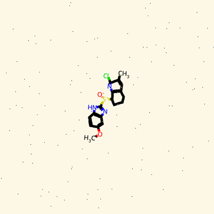 COc1ccc2[nH]c([S+]([O-])C3CCCc4cc(C)c(Cl)nc43)nc2c1